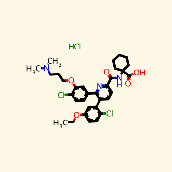 CCOc1ccc(Cl)c(-c2ccc(C(=O)NC3(C(=O)O)CCCCC3)nc2-c2ccc(Cl)c(OCCCN(C)C)c2)c1.Cl